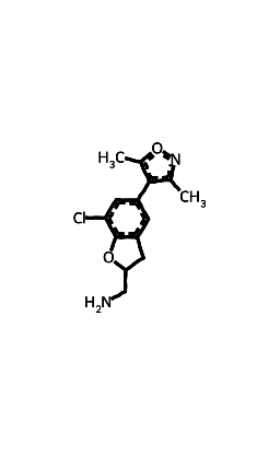 Cc1noc(C)c1-c1cc(Cl)c2c(c1)CC(CN)O2